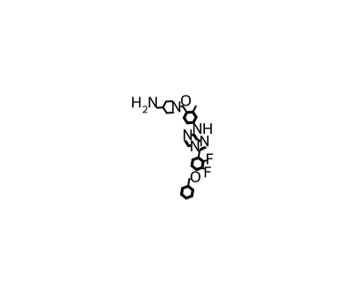 Cc1cc(Nc2nccn3c(-c4ccc(OCc5ccccc5)c(F)c4F)cnc23)ccc1C(=O)N1CCC(CN)CC1